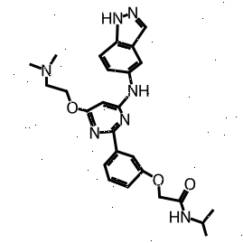 CC(C)NC(=O)COc1cccc(-c2nc(Nc3ccc4[nH]ncc4c3)cc(OCCN(C)C)n2)c1